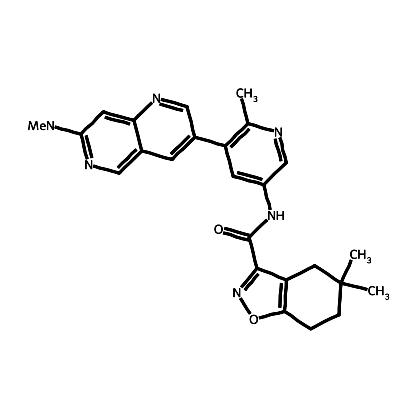 CNc1cc2ncc(-c3cc(NC(=O)c4noc5c4CC(C)(C)CC5)cnc3C)cc2cn1